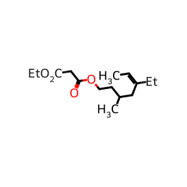 CC=C(CC)CC(C)CCOC(=O)CC(=O)OCC